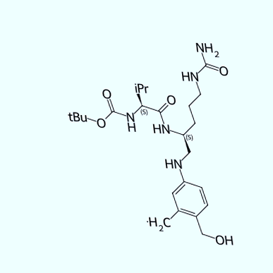 [CH2]c1cc(NC[C@H](CCCNC(N)=O)NC(=O)[C@@H](NC(=O)OC(C)(C)C)C(C)C)ccc1CO